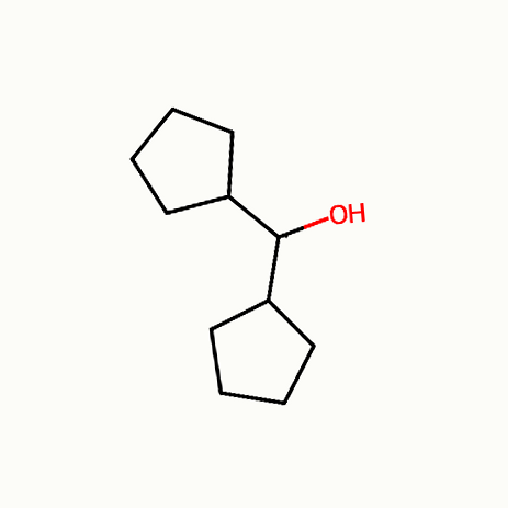 O[C](C1CCCC1)C1CCCC1